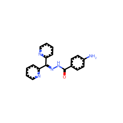 Nc1ccc(C(=O)NN=C(c2ccccn2)c2ccccn2)cc1